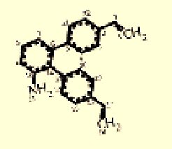 C=Cc1ccc(-c2cccc(N)c2-c2ccc(C=C)cc2)cc1